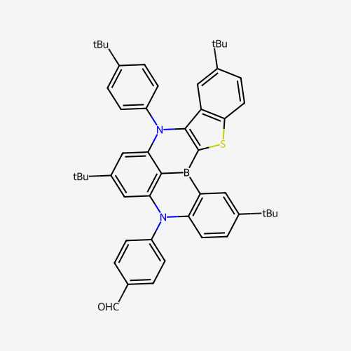 CC(C)(C)c1ccc(N2c3cc(C(C)(C)C)cc4c3B(c3cc(C(C)(C)C)ccc3N4c3ccc(C=O)cc3)c3sc4ccc(C(C)(C)C)cc4c32)cc1